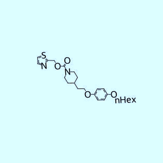 CCCCCCOc1ccc(OCCC2CCN(C(=O)OCc3nccs3)CC2)cc1